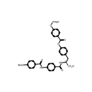 CCCCCCCOc1ccc(C(=O)Oc2ccc(C[C@H](NC(=O)c3ccc(NC(=O)c4ccc(OC)cc4)cc3)C(=O)O)cc2)cc1